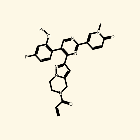 C=CC(=O)N1CCn2nc(-c3nc(-c4ccc(=O)n(C)c4)ncc3-c3ccc(F)cc3OC(C)C)cc2C1